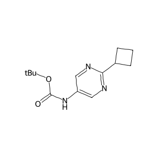 CC(C)(C)OC(=O)Nc1cnc(C2CCC2)nc1